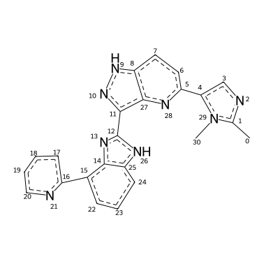 Cc1ncc(-c2ccc3[nH]nc(-c4nc5c(-c6ccccn6)cccc5[nH]4)c3n2)n1C